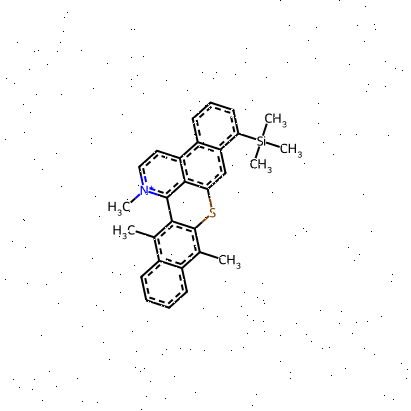 Cc1c2c(c(C)c3ccccc13)-c1c3c(cc4c([Si](C)(C)C)cccc4c3cc[n+]1C)S2